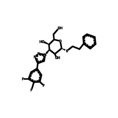 OCC1O[C@H](SCCc2ccccc2)C(O)[C@@H](n2cc(-c3cc(F)c(F)c(F)c3)nn2)[C@H]1O